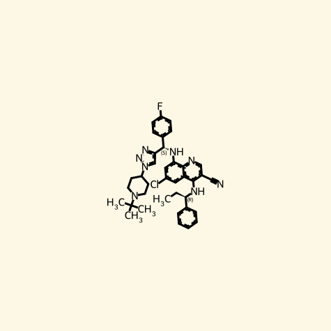 CC[C@@H](Nc1c(C#N)cnc2c(N[C@@H](c3ccc(F)cc3)c3cn(C4CCN(C(C)(C)C)CC4)nn3)cc(Cl)cc12)c1ccccc1